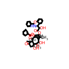 CC(=O)O[C@@]12COC1C[C@@H](O)[C@@]1(C)C(=O)[C@H](O)C3=C(C)[C@@H](OC(=O)[C@H](O)[C@@H](NC(=O)c4ccccc4)c4ccccc4)C[C@@](O)([C@@H](OC(=O)c4ccccc4)C21)C3(C)C